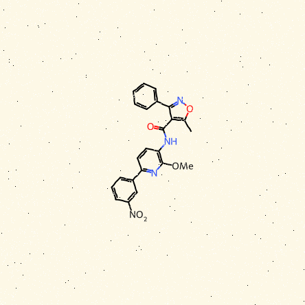 COc1nc(-c2cccc([N+](=O)[O-])c2)ccc1NC(=O)c1c(-c2ccccc2)noc1C